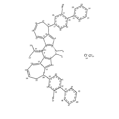 CCC1=[C]([Hf+2]([C]2=C(CC)C=C3C2=CC=CCC3c2ccc(-c3ccccc3)c(F)c2)=[C](C)C)C2=CC=CCC(c3ccc(-c4ccccc4)c(F)c3)C2=C1.[Cl-].[Cl-]